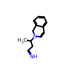 CC(CC=N)N1C=Cc2ccccc2C1